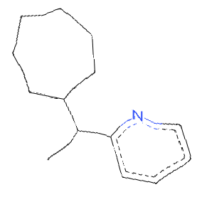 CC(c1ccccn1)C1CCCCCC1